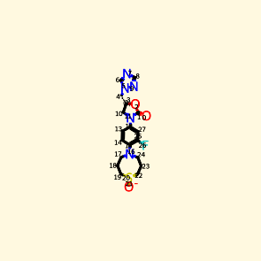 O=C1O[C@@H](Cn2cncn2)CN1c1ccc(N2CCC[S+]([O-])CCC2)c(F)c1